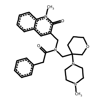 CN1CCN(C2(CN(Cc3cc4ccccc4n(C)c3=O)C(=O)Cc3ccccc3)CCCOC2)CC1